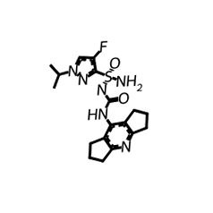 CC(C)n1cc(F)c(S(N)(=O)=NC(=O)Nc2c3c(nc4c2CCC4)CCC3)n1